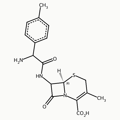 CC1=C(C(=O)O)N2C(=O)C(NC(=O)C(N)c3ccc(C)cc3)[C@H]2SC1